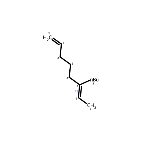 C=CCCC/C(=C/C)CCCC